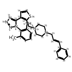 Cc1cccc(C)c1-n1nnnc1-c1ccsc1CN1CCN(CC=Cc2ccccc2)CC1